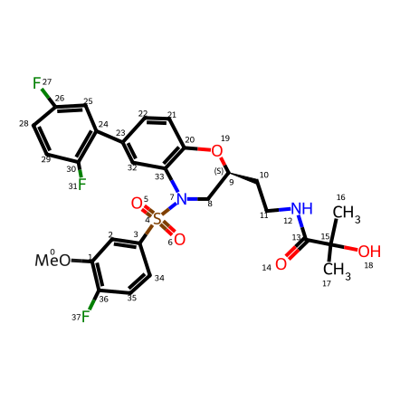 COc1cc(S(=O)(=O)N2C[C@H](CCNC(=O)C(C)(C)O)Oc3ccc(-c4cc(F)ccc4F)cc32)ccc1F